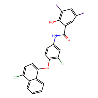 O=C(Nc1ccc(Oc2ccc(Cl)c3ccccc23)c(Cl)c1)c1cc(I)cc(I)c1O